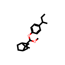 CCC(C)c1ccc(OC(OC)C2CC3CCC2C3(C)C)cc1